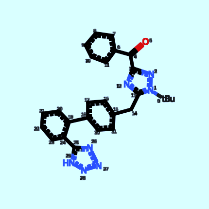 CC(C)(C)n1nc(C(=O)c2ccccc2)nc1Cc1ccc(-c2ccccc2-c2nnn[nH]2)cc1